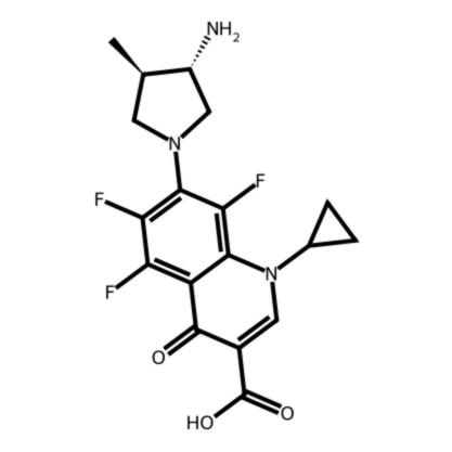 C[C@@H]1CN(c2c(F)c(F)c3c(=O)c(C(=O)O)cn(C4CC4)c3c2F)C[C@H]1N